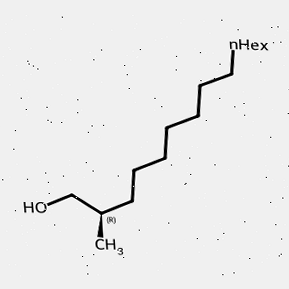 CCCCCCCCCCCCC[C@@H](C)CO